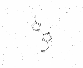 OCc1cnc(-c2ccc(Cl)s2)s1